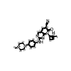 C[C@H]1C2CC1(n1c(=O)c(C#N)cc3cnc(Nc4ccc(N5CCN(C)CC5)cc4)nc31)C2